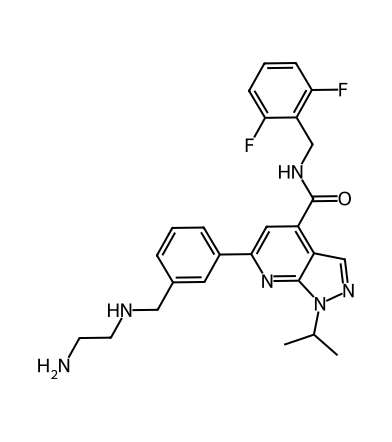 CC(C)n1ncc2c(C(=O)NCc3c(F)cccc3F)cc(-c3cccc(CNCCN)c3)nc21